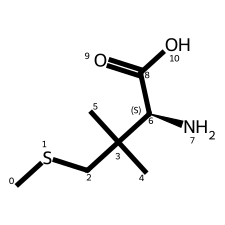 CSCC(C)(C)[C@H](N)C(=O)O